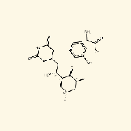 C[C@@H]1C[C@@H]([C@H](O)CC2CC(=O)NC(=O)C2)C(=O)[C@@H](C)C1.NCC(=O)O.Oc1ccccc1